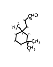 CC1(C)CCC[C@](C)(CCC=O)C1